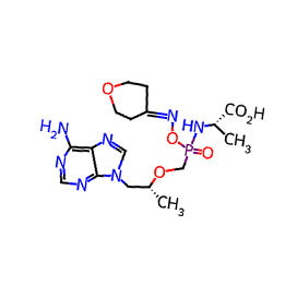 C[C@H](Cn1cnc2c(N)ncnc21)OCP(=O)(N[C@@H](C)C(=O)O)ON=C1CCOCC1